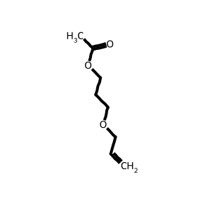 C=CCOCCCOC(C)=O